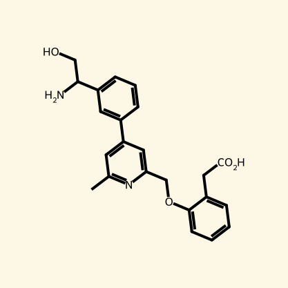 Cc1cc(-c2cccc(C(N)CO)c2)cc(COc2ccccc2CC(=O)O)n1